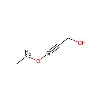 C[SiH2]O[Si]#CCO